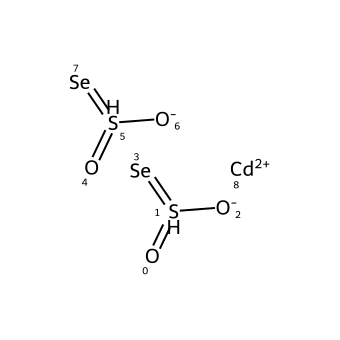 O=[SH]([O-])=[Se].O=[SH]([O-])=[Se].[Cd+2]